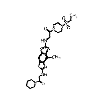 CCS(=O)(=O)N1CCN(C(=O)CNc2nc3c(C)c4nc(NCC(=O)N5CCCCC5)sc4cc3s2)CC1